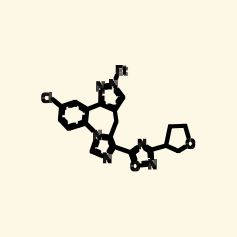 CCn1cc2c(n1)-c1cc(Cl)ccc1-n1cnc(-c3nc(C4CCOC4)no3)c1C2